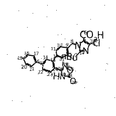 CCCCc1nc(Cl)c(C(=O)O)n1Cc1ccc(-c2cc(-c3ccccc3)ccc2-c2noc(=O)[nH]2)cc1